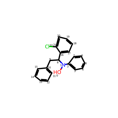 ON(c1ccccc1)C(Cc1ccccc1)c1ccccc1Cl